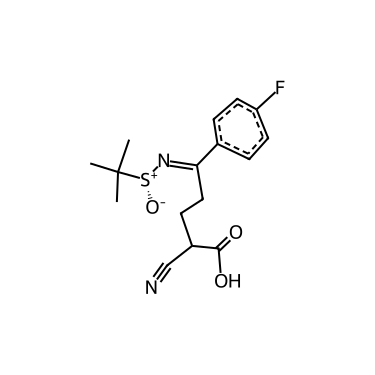 CC(C)(C)[S@@+]([O-])/N=C(\CCC(C#N)C(=O)O)c1ccc(F)cc1